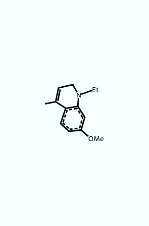 CCN1CC=C(C)c2ccc(OC)cc21